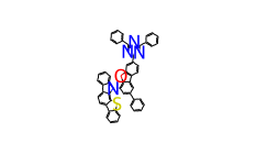 c1ccc(-c2cc(-n3c4ccccc4c4ccc5c6ccccc6sc5c43)c3oc4cc(-c5nc(-c6ccccc6)nc(-c6ccccc6)n5)ccc4c3c2)cc1